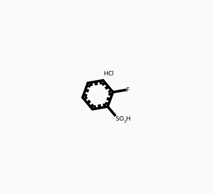 Cl.O=S(=O)(O)c1ccccc1F